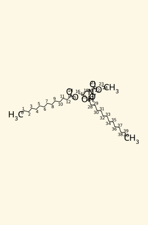 CCCCCCCCCCCCCC(=O)OCC(CNC(=O)OCC)OC(=O)CCCCCCCCCCCCC